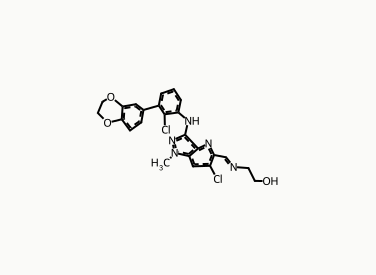 Cn1nc(Nc2cccc(-c3ccc4c(c3)OCCO4)c2Cl)c2nc(C=NCCO)c(Cl)cc21